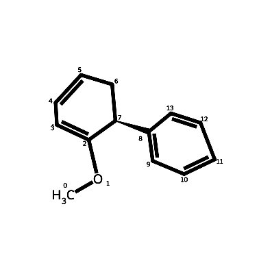 COC1=[C]C=CC[C@H]1c1ccccc1